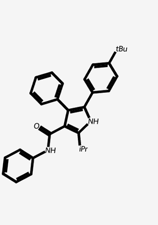 CC(C)c1[nH]c(-c2ccc(C(C)(C)C)cc2)c(-c2ccccc2)c1C(=O)Nc1ccccc1